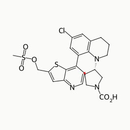 CS(=O)(=O)OCc1cc2nccc(-c3cc(Cl)cc4c3N([C@H]3CCN(C(=O)O)C3)CCC4)c2s1